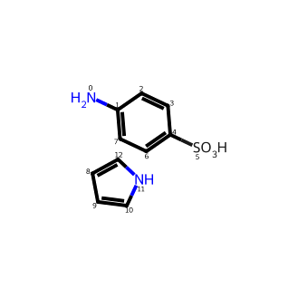 Nc1ccc(S(=O)(=O)O)cc1.c1cc[nH]c1